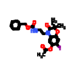 CC(=O)Oc1cc2c(cc1I)OC(C)(C)C(=O)N2CCNC(=O)OCc1ccccc1